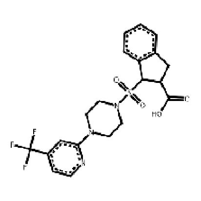 O=C(O)C1Cc2ccccc2C1S(=O)(=O)N1CCN(c2cc(C(F)(F)F)ccn2)CC1